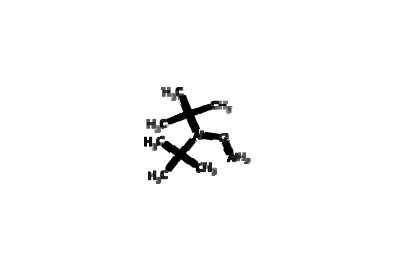 C[C](C)(C)[Al]([O][AlH2])[C](C)(C)C